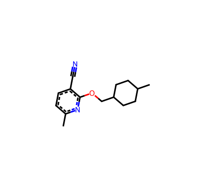 Cc1ccc(C#N)c(OCC2CCC(C)CC2)n1